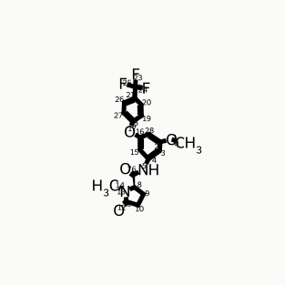 COc1cc(NC(=O)[C@H]2CCC(=O)N2C)cc(Oc2ccc(C(F)(F)F)cc2)c1